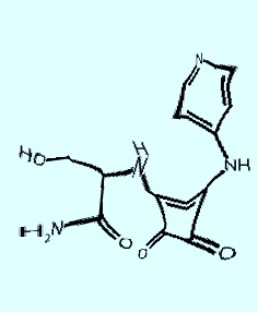 NC(=O)C(CO)Nc1c(Nc2ccncc2)c(=O)c1=O